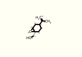 C=C(C)C1CC[C@@]2(CO)OC2C1